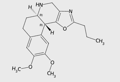 CCCc1nc2c(o1)[C@@H]1c3cc(OC)c(OC)cc3CC[C@H]1NC2